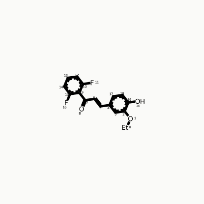 CCOc1cc(/C=C/C(=O)c2c(F)cccc2F)ccc1O